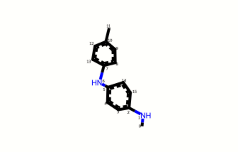 CNc1ccc(Nc2ccc(C)cc2)cc1